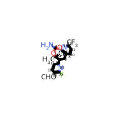 CC(C)(OC(N)=O)C(Cc1ccc(C(F)(F)F)nc1)c1ccc(C=O)c(F)n1